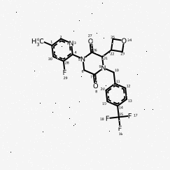 Cc1cnc(N2CC(=O)N(Cc3ccc(C(F)(F)F)cc3)C(C3COC3)C2=O)c(F)c1